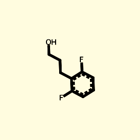 OCCCc1c(F)cccc1F